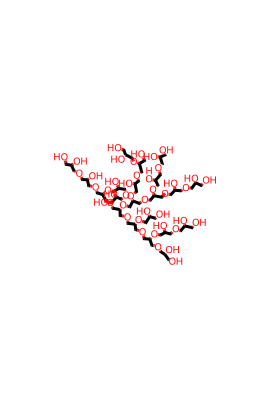 OCC(O)COCC(O)COCC(COCC(COCC(COCC(COCC(O)CO)OCC(O)COCC(O)CO)OCC(O)CO)OCC(COCC(COCC(O)COCC(O)CO)OCC(O)COCC(O)CO)OCC(O)COCC(CO)OCC(O)CO)OCC(O)COCC(O)CO